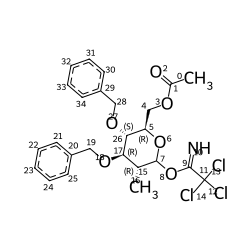 CC(=O)OC[C@H]1OC(OC(=N)C(Cl)(Cl)Cl)[C@H](C)[C@@H](OCc2ccccc2)[C@@H]1OCc1ccccc1